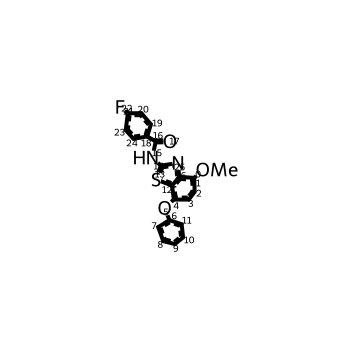 COc1ccc(Oc2ccccc2)c2sc(NC(=O)c3ccc(F)cc3)nc12